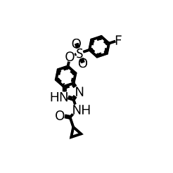 O=C(Nc1nc2cc(OS(=O)(=O)c3ccc(F)cc3)ccc2[nH]1)C1CC1